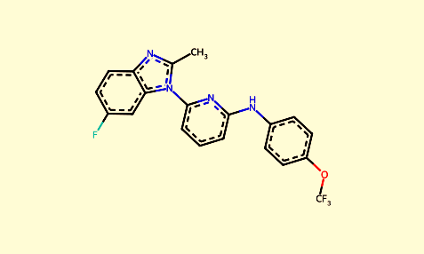 Cc1nc2ccc(F)cc2n1-c1cccc(Nc2ccc(OC(F)(F)F)cc2)n1